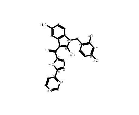 Cc1ccc2c(c1)c(C(=O)c1nnc(-c3ccncn3)o1)c(C(F)(F)F)n2Cc1ccc(Cl)cc1Cl